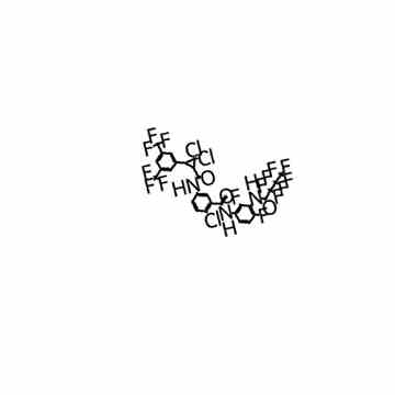 O=C(Nc1ccc(F)c(NC(=O)C(F)(F)C(F)(F)C(F)(F)F)c1F)c1cc(NC(=O)C2C(c3cc(C(F)(F)F)cc(C(F)(F)F)c3)C2(Cl)Cl)ccc1Cl